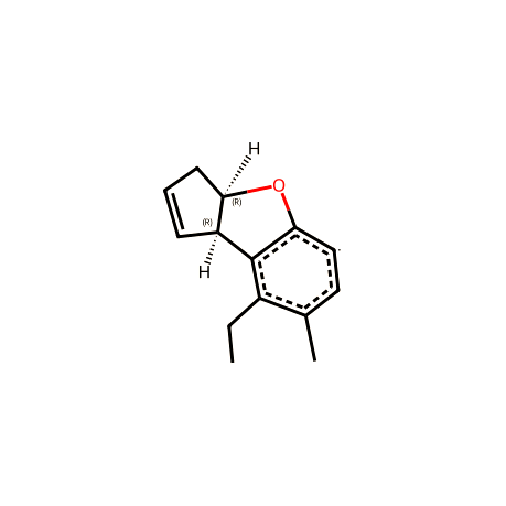 CCc1c(C)c[c]c2c1[C@H]1C=CC[C@H]1O2